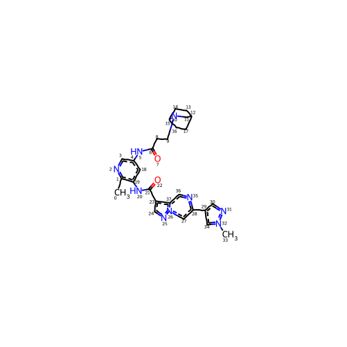 Cc1ncc(NC(=O)CCN2CC3CCC2CC3)cc1NC(=O)c1cnn2cc(-c3cnn(C)c3)ncc12